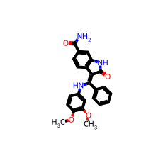 COc1ccc(NC(=C2C(=O)Nc3cc(C(N)=O)ccc32)c2ccccc2)cc1OC